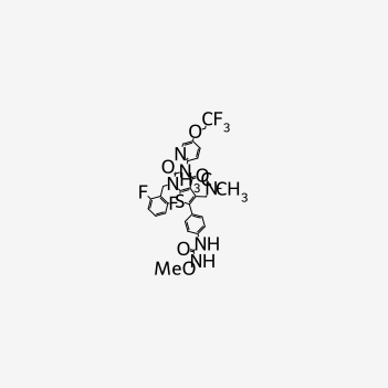 CONC(=O)Nc1ccc(-c2sc3c(c2CN(C)C)c(=O)n(-c2ccc(OCC(F)(F)F)cn2)c(=O)n3Cc2c(F)cccc2F)cc1